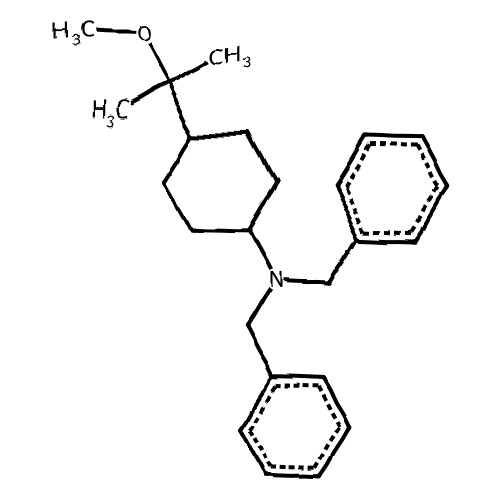 COC(C)(C)C1CCC(N(Cc2ccccc2)Cc2ccccc2)CC1